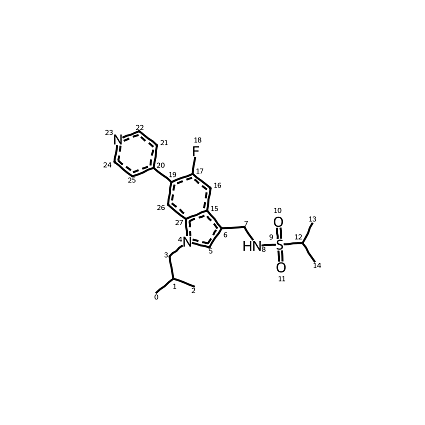 CC(C)Cn1cc(CNS(=O)(=O)C(C)C)c2cc(F)c(-c3ccncc3)cc21